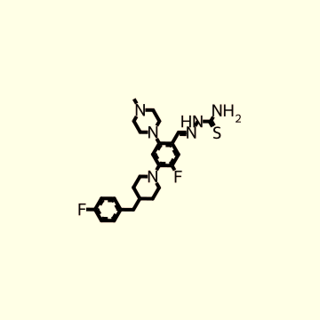 CN1CCN(c2cc(N3CCC(Cc4ccc(F)cc4)CC3)c(F)cc2C=NNC(N)=S)CC1